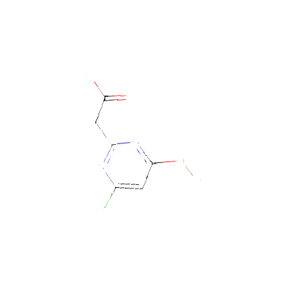 COc1cc(Cl)nc(CC(=O)O)n1